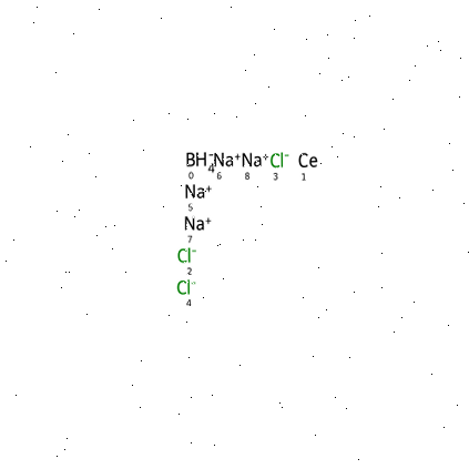 [BH4-].[Ce].[Cl-].[Cl-].[Cl-].[Na+].[Na+].[Na+].[Na+]